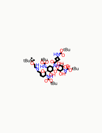 CN(C(=O)OC(C)(C)C)[C@@H]1[C@@H](O)[C@@H](O[C@H]2[C@H](NC(=O)C3(O)CC(NC(=O)OC(C)(C)C)C3)C[C@H](NC(=O)OC(C)(C)C)C([C@H]3OC(CNCCO[Si](C)(C)C(C)(C)C)=CC[C@H]3NC(=O)OC(C)(C)C)[C@@H]2O)OC[C@]1(C)O